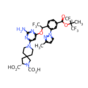 Cc1ccn(-c2cc(C(=O)OC(C)(C(F)(F)F)C(F)(F)F)ccc2C(Oc2cc(N3CCC4(CC3)C[C@@H](C(=O)O)N(C(=O)O)C4)nc(N)n2)C(F)(F)F)n1